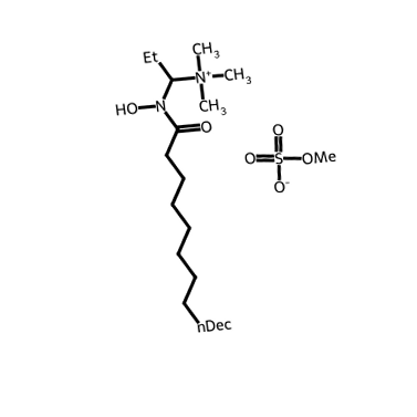 CCCCCCCCCCCCCCCCCC(=O)N(O)C(CC)[N+](C)(C)C.COS(=O)(=O)[O-]